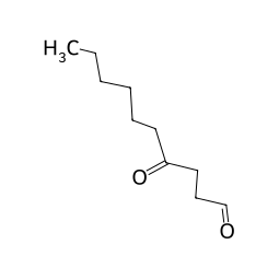 CCCCCCC(=O)CCC=O